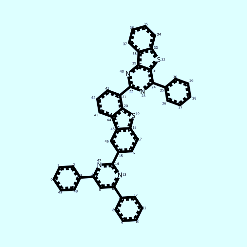 c1ccc(-c2cc(-c3ccccc3)nc(-c3ccc4sc5c(-c6nc(-c7ccccc7)c7sc8ccccc8c7n6)cccc5c4c3)n2)cc1